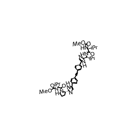 COC(=O)N[C@H](C(=O)N[C@H](c1ncc(-c2ccc(C#Cc3ccc(-c4cnc([C@@H]5CCCN5C(=O)[C@@H](NC(=O)OC)C(C)C)[nH]4)cc3)cc2)[nH]1)C(C)C)C(C)C